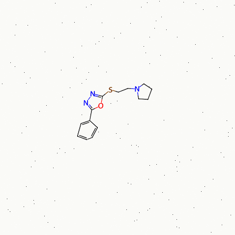 c1ccc(-c2nnc(SCCN3CCCC3)o2)cc1